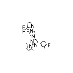 Cc1cc(-c2cc(N3CCN(c4ncccc4C(F)(F)F)CC3)nc(-n3c(C)ccc3C)n2)ccc1F